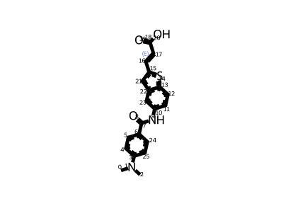 CN(C)c1ccc(C(=O)Nc2ccc3sc(/C=C/C(=O)O)cc3c2)cc1